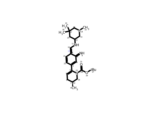 C[C@H]1CC=C(C2=CC(=N)/C(=C\NC3CN(C)CC(C)(C)C3)C=C2)N(C(=O)OC(C)(C)C)C1